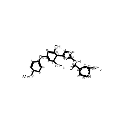 COC1C=CC(OC2=CC(C)C(c3csc(NC(=O)c4ccnc(N)c4)n3)C(C)=C2)=CC1